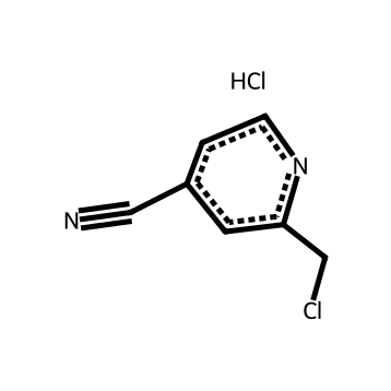 Cl.N#Cc1ccnc(CCl)c1